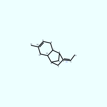 C/C=C1/CC2CC1C1CC=C(C)CC21